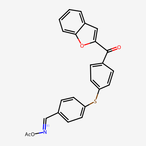 CC(=O)O/N=C/c1ccc(Sc2ccc(C(=O)c3cc4ccccc4o3)cc2)cc1